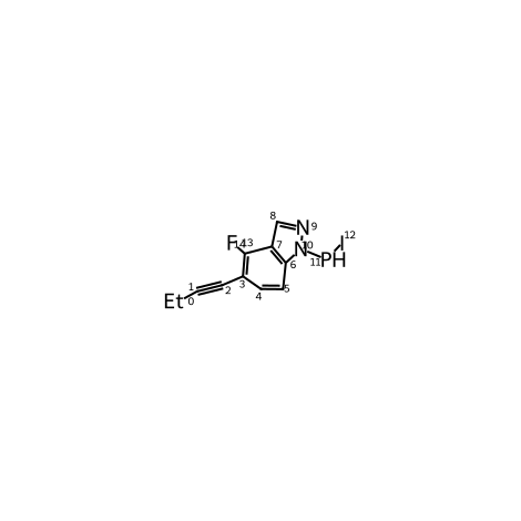 CCC#Cc1ccc2c(cnn2PI)c1F